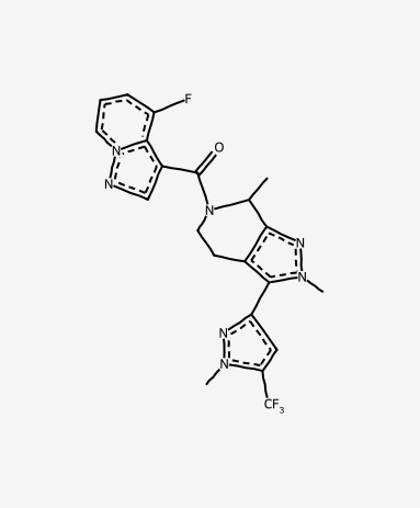 CC1c2nn(C)c(-c3cc(C(F)(F)F)n(C)n3)c2CCN1C(=O)c1cnn2cccc(F)c12